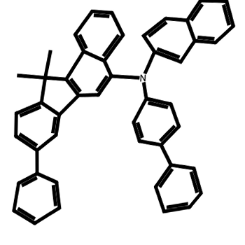 CC1(C)c2ccc(-c3ccccc3)cc2-c2cc(N(c3ccc(-c4ccccc4)cc3)c3ccc4ccccc4c3)c3ccccc3c21